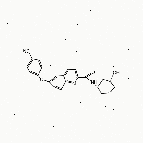 N#Cc1ccc(Oc2ccc3nc(C(=O)N[C@H]4CCC[C@@H](O)C4)ccc3c2)cc1